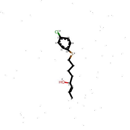 C/C=C/[C@@H](O)CCCCSc1ccc(Cl)cc1